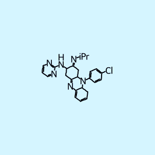 CC(C)/N=C1\CC2C(=NC3=CC=CCC3N2c2ccc(Cl)cc2)CC1Nc1ncccn1